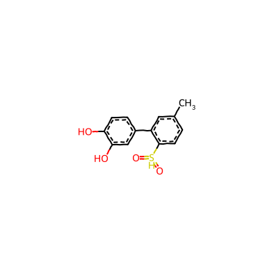 Cc1ccc([SH](=O)=O)c(-c2ccc(O)c(O)c2)c1